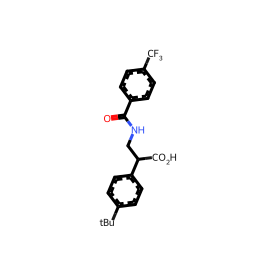 CC(C)(C)c1ccc(C(CNC(=O)c2ccc(C(F)(F)F)cc2)C(=O)O)cc1